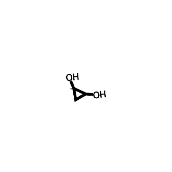 O[C]1CC1O